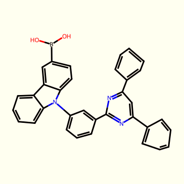 OB(O)c1ccc2c(c1)c1ccccc1n2-c1cccc(-c2nc(-c3ccccc3)cc(-c3ccccc3)n2)c1